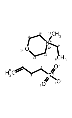 C=CCCS(=O)(=O)[O-].CC[N+]1(C)CCOCC1